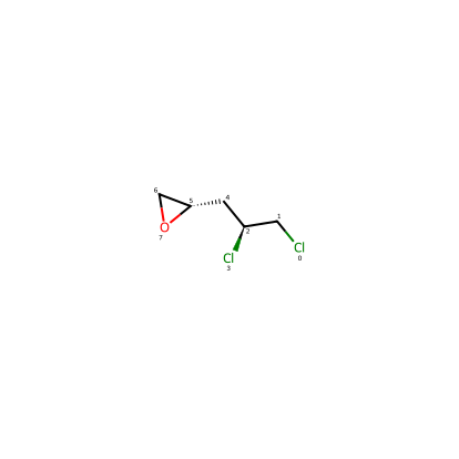 ClC[C@@H](Cl)C[C@H]1CO1